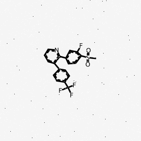 CS(=O)(=O)c1ccc(-c2ncccc2-c2ccc(C(F)(F)F)cc2)cc1F